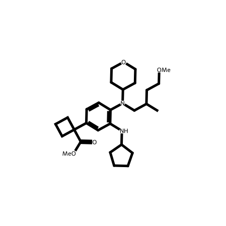 COCCC(C)CN(c1ccc(C2(C(=O)OC)CCC2)cc1NC1CCCC1)C1CCOCC1